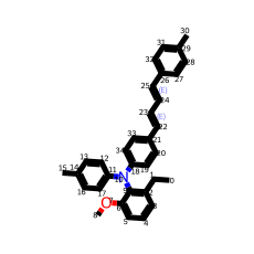 CCc1cccc(OC)c1N(c1ccc(C)cc1)c1ccc(/C=C/C=C/c2ccc(C)cc2)cc1